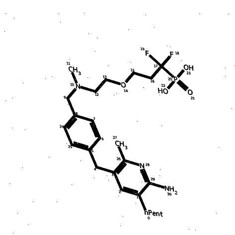 CCCCCc1cc(Cc2ccc(CN(C)CCOCCC(F)(F)P(=O)(O)O)cc2)c(C)nc1N